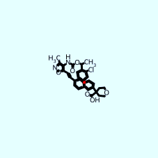 Cc1noc(C#Cc2ccc3cc(C4(C(=O)O)CCOCC4)ccc3c2)c1NC(=O)OC(C)c1ccccc1Cl